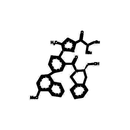 CCCCN(CCCC)C(=O)c1cc(C)n(-c2ccc(-c3ccc(OC)c4ccccc34)cc2C(=O)N2Cc3ccccc3C[C@H]2CO)n1